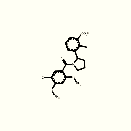 Cc1c(C(=O)O)cccc1C1CCCN1C(=O)c1cc(Cl)c(OP)cc1OP